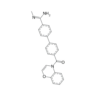 CN=C(N)c1ccc(-c2ccc(C(=O)N3C=COc4ccccc43)cc2)cc1